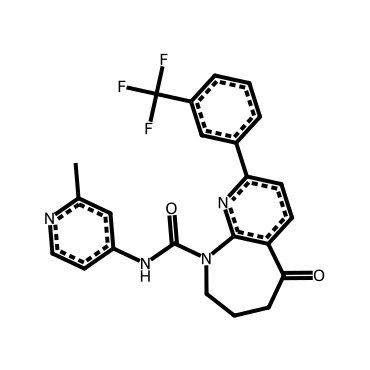 Cc1cc(NC(=O)N2CCCC(=O)c3ccc(-c4cccc(C(F)(F)F)c4)nc32)ccn1